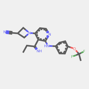 CCC(=N)c1c(N2CC(C#N)C2)ccnc1Nc1ccc(OC(C)(F)F)cc1